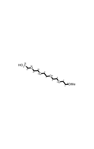 COCCOCCOCCOCCOCC(=O)O